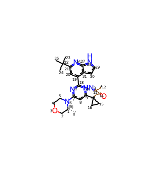 C[C@@H]1COCCN1c1cc(C2(S(C)(=N)=O)CC2)nc(-c2cc(C(C)(C)C)nc3[nH]ccc23)n1